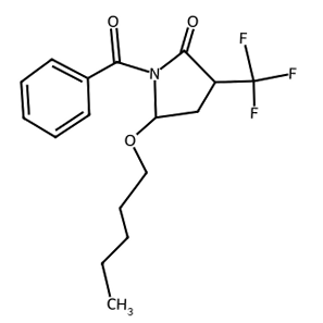 CCCCCOC1CC(C(F)(F)F)C(=O)N1C(=O)c1ccccc1